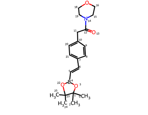 CC1(C)OB(C=Cc2ccc(CC(=O)N3CCOCC3)cc2)OC1(C)C